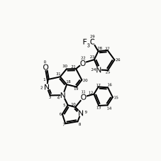 O=c1ncn(-c2cccnc2Oc2ccccc2)c2ccc(Oc3ncccc3C(F)(F)F)cc12